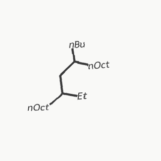 CCCCCCCCC(CC)CC(CCCC)CCCCCCCC